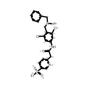 CCCN(Cc1ccccc1)Cc1c(Cl)cc(NC(=O)Cc2ccc(S(=O)(=O)CC)cn2)cc1Cl